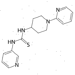 S=C(Nc1cccnc1)NC1CCN(c2ccccn2)CC1